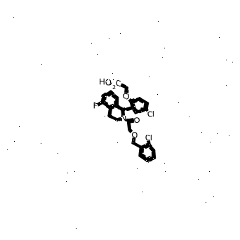 O=C(O)COc1ccc(Cl)cc1C1c2cccc(F)c2CCN1C(=O)COCc1ccccc1Cl